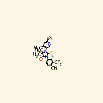 Cc1cc(C(C)C)ncc1N1C(=S)N(c2ccc(C#N)c(C(F)(F)F)c2F)C(=O)C1(C)C